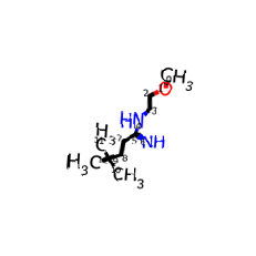 COCCNC(=N)CCC(C)(C)C